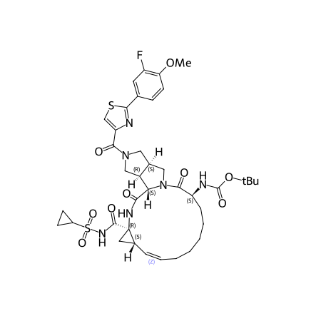 COc1ccc(-c2nc(C(=O)N3C[C@H]4CN5C(=O)[C@@H](NC(=O)OC(C)(C)C)CCCCC/C=C\[C@@H]6C[C@@]6(C(=O)NS(=O)(=O)C6CC6)NC(=O)[C@@H]5[C@H]4C3)cs2)cc1F